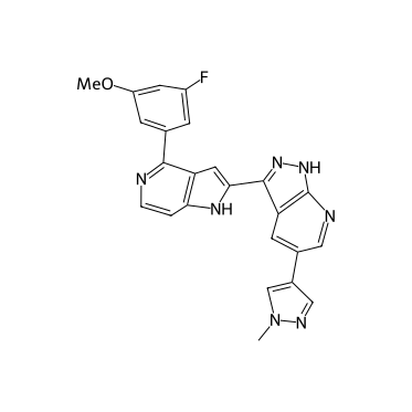 COc1cc(F)cc(-c2nccc3[nH]c(-c4n[nH]c5ncc(-c6cnn(C)c6)cc45)cc23)c1